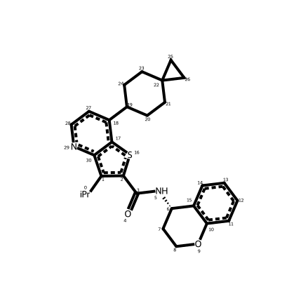 CC(C)c1c(C(=O)N[C@H]2CCOc3ccccc32)sc2c(C3CCC4(CC3)CC4)ccnc12